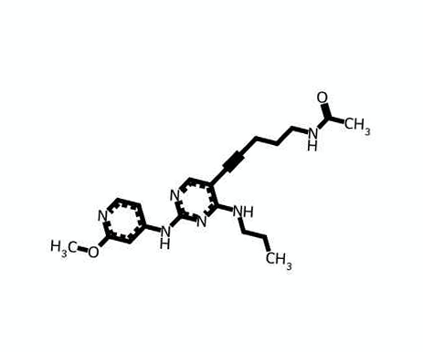 CCCNc1nc(Nc2ccnc(OC)c2)ncc1C#CCCCNC(C)=O